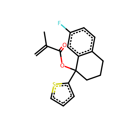 C=C(C)C(=O)OC1(c2cccs2)CCCc2ccc(F)cc21